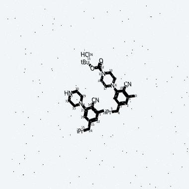 Cc1cc(CC(C)C)cc(N2CCN(C(=O)OC(C)(C)C)CC2)c1C#N.Cc1cc(CC(C)C)cc(N2CCNCC2)c1C#N.Cl